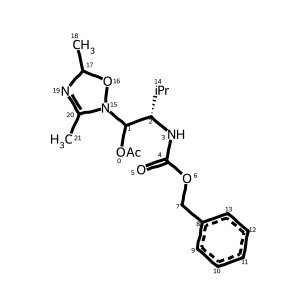 CC(=O)OC([C@@H](NC(=O)OCc1ccccc1)C(C)C)N1OC(C)N=C1C